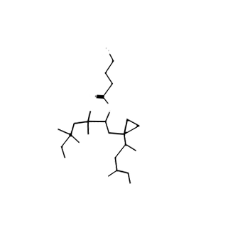 CCC(C)CC(C)C1(CC(OC(=O)CCCN)C(C)(C)CC(C)(C)CC)CC1